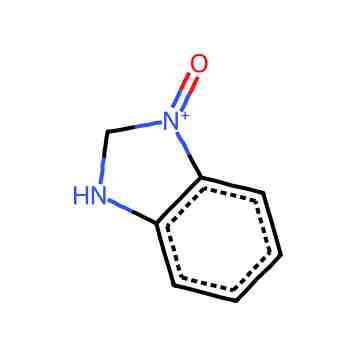 O=[N+]1CNc2ccccc21